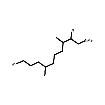 CNCC(O)C(C)CCCC(C)CCCC(C)C